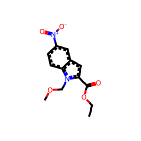 CCOC(=O)c1cc2cc([N+](=O)[O-])ccc2n1COC